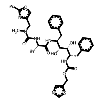 CC(C)c1nc(CN(C)C(=O)N[C@H](C(=O)N[C@@H](Cc2ccccc2)[C@@H](O)[C@H](O)[C@H](Cc2ccccc2)NC(=O)OCc2cncs2)C(C)C)co1